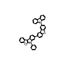 c1ccc(-n2c3cc(-c4ccc5sc6ccc(-n7c8ccccc8c8ccccc87)cc6c5c4)ccc3c3c4ccccc4oc32)cc1